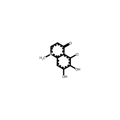 Cn1ccc(=O)c2c(Cl)c(O)c(O)cc21